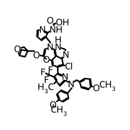 COc1ccc(CN(Cc2ccc(OC)cc2)c2cc(C)c(C(F)(F)F)c(-c3cc4c5c(c3Cl)=NCNC=5N(Cc3cccnc3NC(=O)O)C=C(OCC35COC(C3)C5)O4)n2)cc1